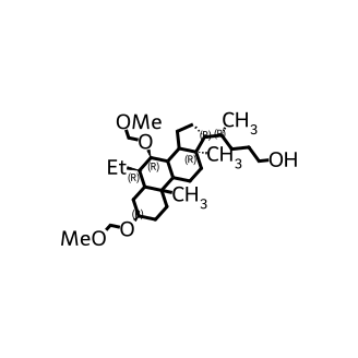 CC[C@@H]1C2C[C@H](OCOC)CCC2(C)C2CC[C@@]3(C)C(CC[C@@H]3[C@H](C)CCCO)C2[C@@H]1OCOC